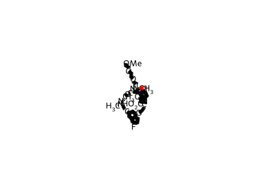 COCCOCCOCCn1nc2c(c1C)-c1c(Cl)ccc3c1c(C)c(C(=O)O)n3CCCOc1cc(cc3cc(F)ccc13)CCc1cc(nn1C)CSC2